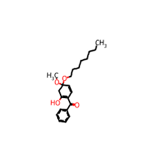 CCCCCCCCOC1(OC)C=CC(C(=O)c2ccccc2)=C(O)C1